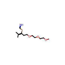 COCCOCCOCCC(SC=N)=C(C)C